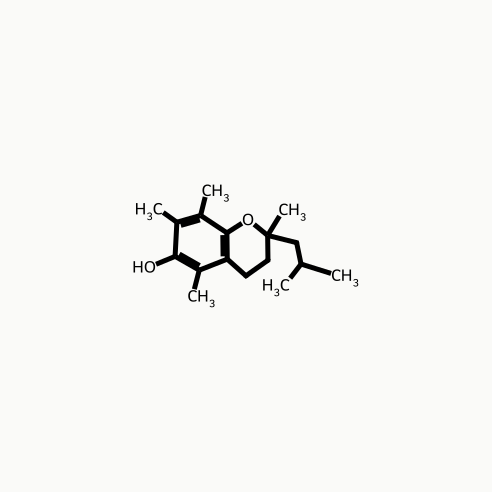 Cc1c(C)c2c(c(C)c1O)CCC(C)(CC(C)C)O2